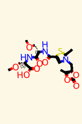 COC[C@H](NC(=O)[C@H](COC)NC(=O)C1=CN(Cc2oc(=O)oc2C)C(C)S1)C(=O)O